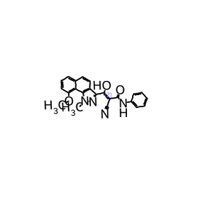 COc1cccc2ccc3c(/C(O)=C(\C#N)C(=O)Nc4ccccc4)nn(C)c3c12